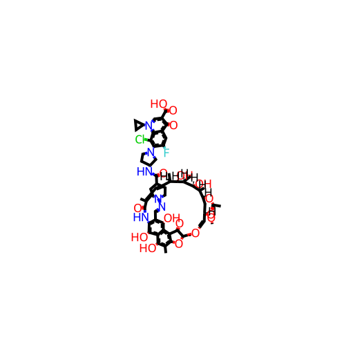 CO[C@H]1/C=C/O[C@@]2(C)Oc3c(C)c(O)c4c(O)c(c(/C=N/N5CCC(C(=O)NC6CCN(c7c(F)cc8c(=O)c(C(=O)O)cn(C9CC9)c8c7Cl)C6)CC5)c(O)c4c3C2=O)NC(=O)/C(C)=C\C=C\[C@H](C)[C@H](O)[C@@H](C)[C@@H](O)[C@@H](C)[C@H](OC(C)=O)C1